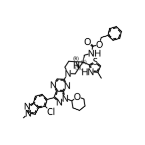 Cc1csc([C@@]2(CNC(=O)OCc3ccccc3)[C@@H]3CCN(c4cnc5c(-c6ccc7nn(C)cc7c6Cl)nn(C6CCCCO6)c5n4)C[C@@H]32)n1